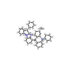 CC(C)(C)c1cc2c3c(c1)-n1c4c(cccc4n4c5ccccc5c(-c5ccccc5)c14)B3c1ccccc1N2c1ccccc1